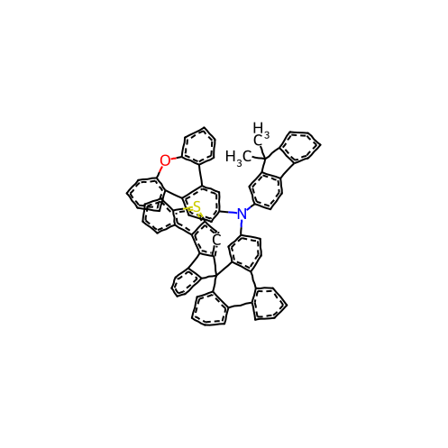 CC1(C)c2ccccc2-c2ccc(N(c3ccc4c(c3)-c3ccccc3Oc3ccccc3-4)c3ccc4c(c3)C3(c5ccccc5-c5ccccc5-4)c4ccccc4-c4c3ccc3sc5ccccc5c43)cc21